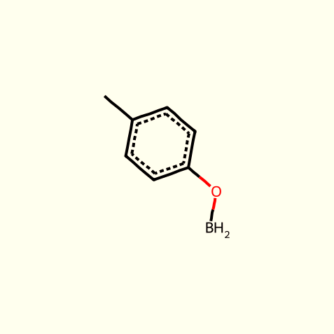 BOc1ccc(C)cc1